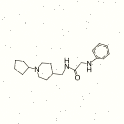 O=C(CNc1ccccc1)NCC1CCN(C2CCCC2)CC1